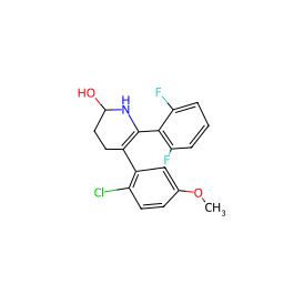 COc1ccc(Cl)c(C2=C(c3c(F)cccc3F)NC(O)CC2)c1